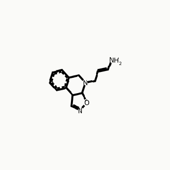 NC=CCN1Cc2ccccc2C2C=NOC21